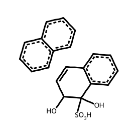 O=S(=O)(O)C1(O)c2ccccc2C=CC1O.c1ccc2ccccc2c1